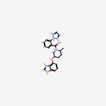 CC1CCC(Oc2cccc3ocnc23)CN1C(=O)c1ccccc1-n1nccn1